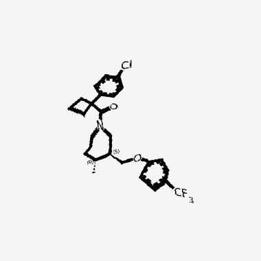 C[C@@H]1CCN(C(=O)C2(c3ccc(Cl)cc3)CCC2)C[C@H]1COc1ccc(C(F)(F)F)cc1